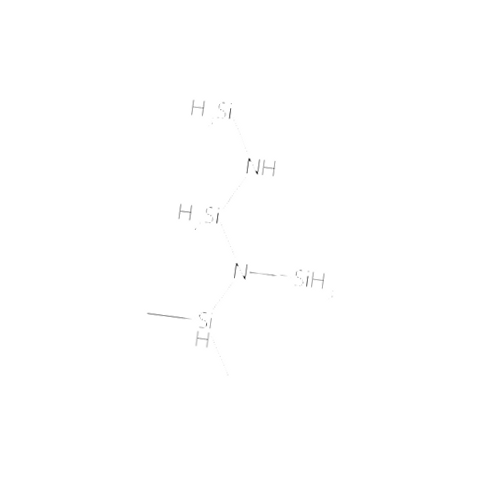 C[SiH](C)N([SiH3])[SiH2]N[SiH3]